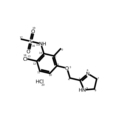 Cc1c(OCC2=NCCN2)ccc(Cl)c1NS(C)(=O)=O.Cl